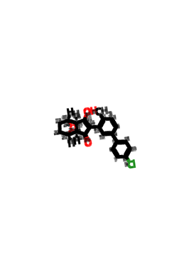 Cc1ccc(-c2ccc(Cl)cc2)cc1C1=C(O)[C@H]2[C@@H](C1=O)[C@@H]1CC[C@H]2O1